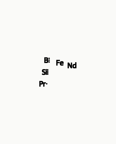 [B].[Fe].[Nd].[Pr].[Si]